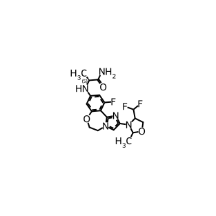 CC1OCC(C(F)F)N1c1cn2c(n1)-c1c(F)cc(N[C@@H](C)C(N)=O)cc1OCC2